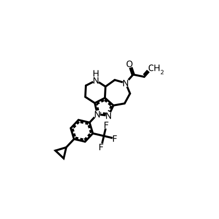 C=CC(=O)N1CCc2nn(-c3ccc(C4CC4)cc3C(F)(F)F)c3c2C(C1)NCC3